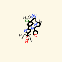 Cc1nnn(C)c1-c1cc2c(cc1Cl)c1ncc(C(C)(C)O)cc1n2C(c1ccccn1)C1CCOCC1